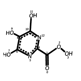 O=C(OO)c1nc(O)c(O)c(O)n1